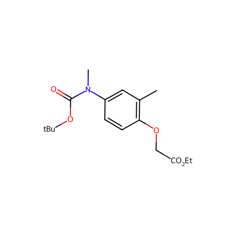 CCOC(=O)COc1ccc(N(C)C(=O)OC(C)(C)C)cc1C